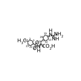 Cc1ccc(S(=O)(=O)N[C@@H](Cc2ccc(NC(=N)N)cc2)C(=O)O)cc1